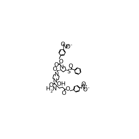 N[C@](O)(CCC(=O)OCc1ccc([N+](=O)[O-])cc1)C(=O)N1CCN(C(=O)[C@@H]2C[C@H](SC(=O)c3ccccc3)CN2C(=O)OCc2ccc([N+](=O)[O-])cc2)CC1